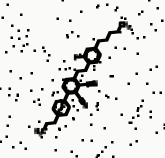 CCCCCc1ccc(CCc2ccc(C34CCC(CCC)(CC3)CC4)c(C#N)c2C#N)c(F)c1